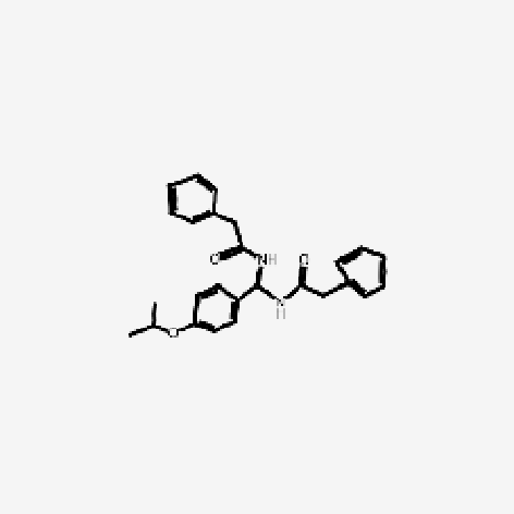 CC(C)Oc1ccc(C(NC(=O)Cc2ccccc2)NC(=O)Cc2ccccc2)cc1